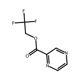 O=C(OCC(F)(F)F)c1cnccn1